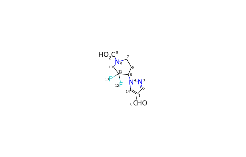 O=Cc1cnn(C2CCN(C(=O)O)CC2(F)F)c1